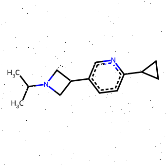 CC(C)N1CC(c2ccc(C3CC3)nc2)C1